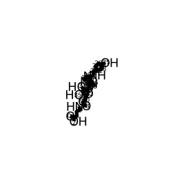 O=C(O)CCCNC(=O)OCC1OC(n2cnc3c(NCc4ccc(O)cc4)ncnc32)C(O)C1O